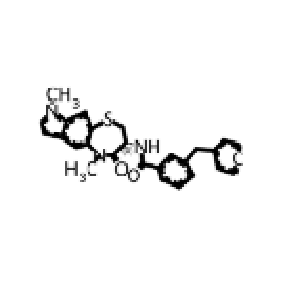 CN1C(=O)[C@@H](NC(=O)c2cccc(Cc3ccccc3)c2)CSc2cc3c(ccn3C)cc21